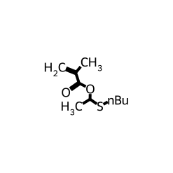 C=C(C)C(=O)OC(C)SCCCC